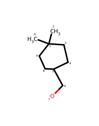 CC1(C)CCC(C[O])CC1